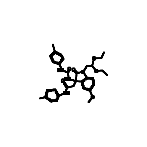 CCOC(CN1C(=O)C(CC(=O)Nc2ccc(C)cc2)(NC(=O)Nc2ccc(C)cc2)c2cc(OC)ccc21)OCC